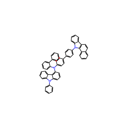 c1ccc(-c2ccccc2N(c2ccc(-c3ccc(-n4c5ccccc5c5ccc6ccccc6c54)cc3)cc2)c2cccc3c2c2ccccc2n3-c2ccccc2)cc1